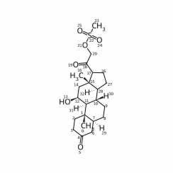 C[C@]12CCC(=O)C[C@@H]1CC[C@@H]1[C@@H]2[C@@H](O)C[C@]2(C)C(C(=O)COS(C)(=O)=O)CC[C@@H]12